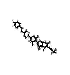 Cc1ccc(CCc2cnc(-c3cc(F)c(-c4cc(F)c5c(F)c(C#CC(F)(F)F)c(F)cc5c4)c(F)c3)nc2)cc1